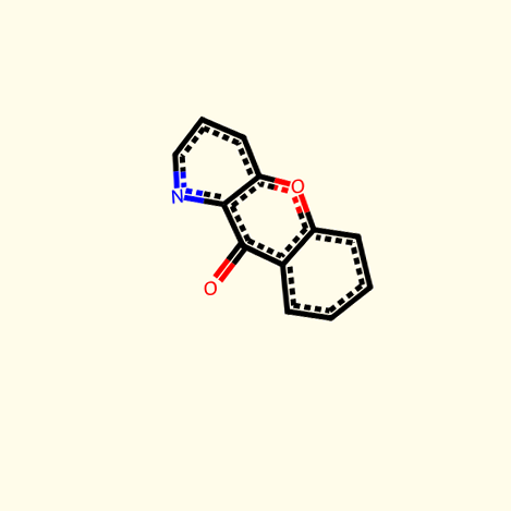 O=c1c2ccccc2oc2cccnc12